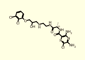 C[C@H](NC(=O)c1nc(Cl)c(N)nc1N)C(=O)NCCNCC(O)COc1cccc(Cl)c1Cl